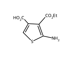 CCOC(=O)c1c(C(=O)O)csc1N